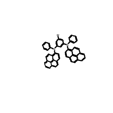 Brc1cc(N(c2ccccc2)c2ccc3ccc4cccc5ccc2c3c45)cc(N(c2ccccc2)c2ccc3ccc4cccc5ccc2c3c45)c1